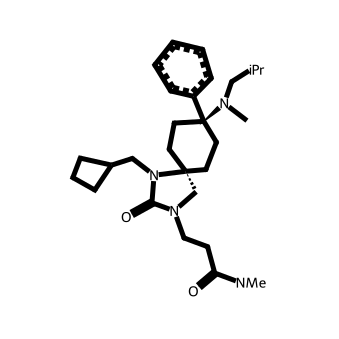 CNC(=O)CCN1C[C@]2(CC[C@](c3ccccc3)(N(C)CC(C)C)CC2)N(CC2CCC2)C1=O